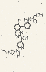 C=CC(=O)Nc1cccc(-c2c(F)ccc3cnc(Nc4ccc(NC5CN(CCF)C5)nc4)nc23)c1